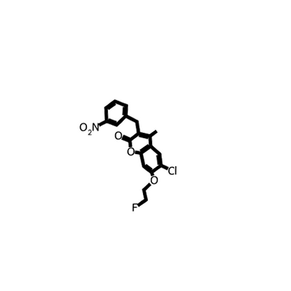 Cc1c(Cc2cccc([N+](=O)[O-])c2)c(=O)oc2cc(OCCF)c(Cl)cc12